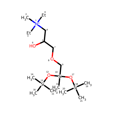 CC[N+](C)(CC)CC(O)COC[Si](C)(O[Si](C)(C)C)O[Si](C)(C)C